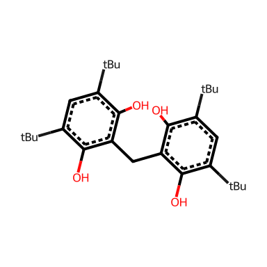 CC(C)(C)c1cc(C(C)(C)C)c(O)c(Cc2c(O)c(C(C)(C)C)cc(C(C)(C)C)c2O)c1O